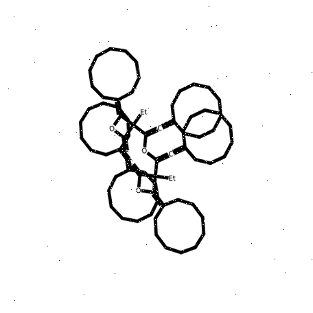 CCC1(C(=C=C2CCCCCCCCC2)OC(=C=C2CCCCCCCCC2)C2(CC)C(=C=C3CCCCCCCCC3)OC2=C2CCCCCCCCC2)C(=C=C2CCCCCCCCC2)OC1=C1CCCCCCCCC1